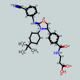 CC(C)(C)C1CCC(N2/C(=N/c3cccc(C#N)c3)OCC2c2ccc(C(=O)NCCC(=O)O)cc2)CC1